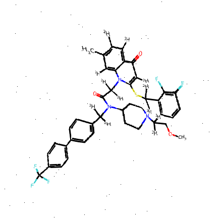 [2H]c1c(C)c([2H])c2c(c1[2H])c(=O)c([2H])c(SC([2H])([2H])c1cccc(F)c1F)n2C([2H])([2H])C(=O)N(C1CCN(C([2H])([2H])COC)CC1)C([2H])([2H])c1ccc(-c2ccc(C(F)(F)F)cc2)cc1